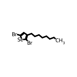 CCCCCCCCc1cc(Br)[se]c1Br